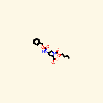 CCCCOC(=O)N1CC(NC(=O)OCc2ccccc2)CC1C(=O)OC